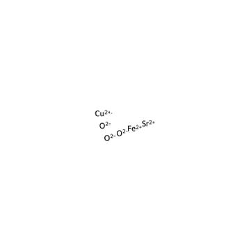 [Cu+2].[Fe+2].[O-2].[O-2].[O-2].[Sr+2]